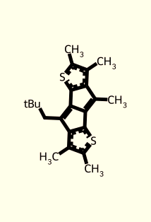 CC1=C2C(=C(CC(C)(C)C)c3c2sc(C)c3C)c2sc(C)c(C)c21